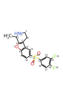 CC1NCCc2c1oc1ccc(S(=O)(=O)c3ccc(F)c(F)c3)cc21